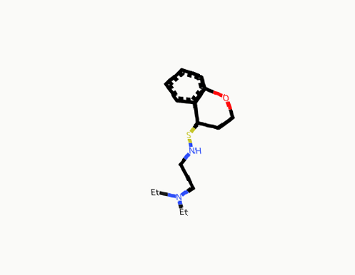 CCN(CC)CCNSC1CCOc2ccccc21